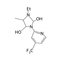 CCN1C(C)C(O)N(c2cc(C(F)(F)F)ccn2)C1O